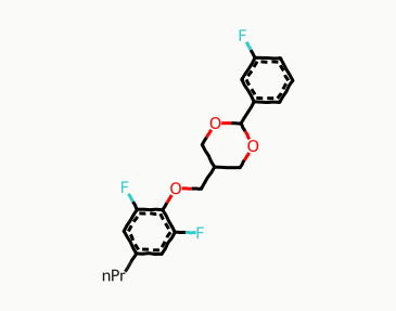 CCCc1cc(F)c(OCC2COC(c3cccc(F)c3)OC2)c(F)c1